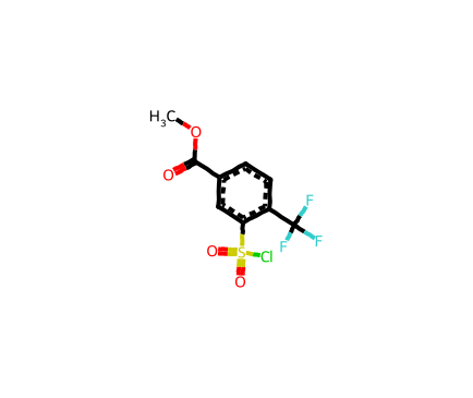 COC(=O)c1ccc(C(F)(F)F)c(S(=O)(=O)Cl)c1